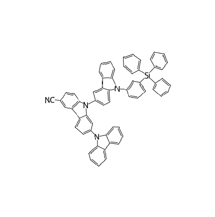 N#Cc1ccc2c(c1)c1ccc(-n3c4ccccc4c4ccccc43)cc1n2-c1ccc2c(c1)c1ccccc1n2-c1cccc([Si](c2ccccc2)(c2ccccc2)c2ccccc2)c1